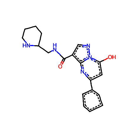 O=C(NCC1CCCCN1)c1cnn2c(O)cc(-c3ccccc3)nc12